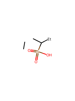 CC.CCC(C)S(=O)(=O)O